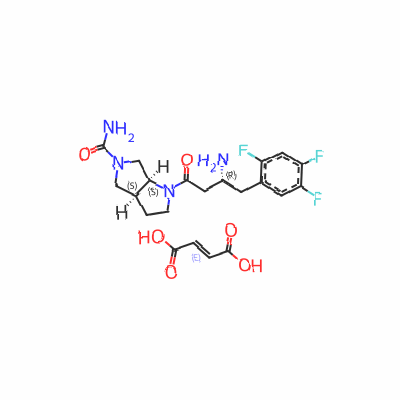 NC(=O)N1C[C@@H]2CCN(C(=O)C[C@H](N)Cc3cc(F)c(F)cc3F)[C@@H]2C1.O=C(O)/C=C/C(=O)O